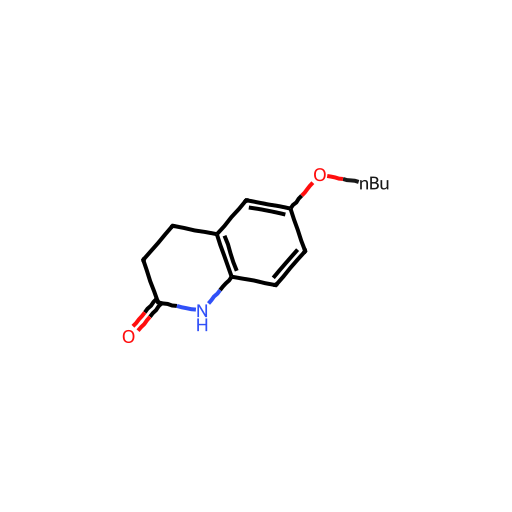 CCCCOc1ccc2c(c1)CCC(=O)N2